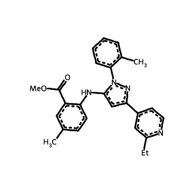 CCc1cc(-c2cc(Nc3ccc(C)cc3C(=O)OC)n(-c3ccccc3C)n2)ccn1